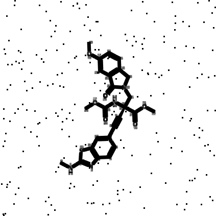 CNc1nc2ccc(C#C[C@](CN3Cc4ccc(OC)cc4C3=O)(NC(=O)OC)C(=O)OC)cc2s1